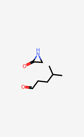 CC(C)CCC=O.O=C1CN1